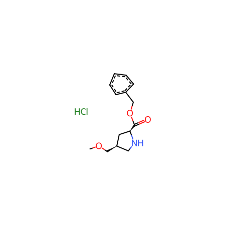 COC[C@@H]1CN[C@H](C(=O)OCc2ccccc2)C1.Cl